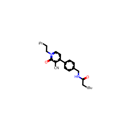 CC(C)CCn1ccc(-c2ccc(CNC(=O)CC(C)(C)C)cc2)c(C#N)c1=O